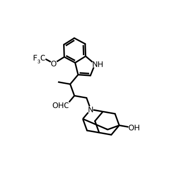 CC(c1c[nH]c2cccc(OC(F)(F)F)c12)C(C=O)CN1C2CC3CC1CC(O)(C3)C2